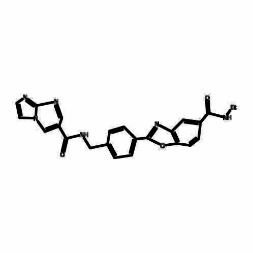 CCNC(=O)c1ccc2oc(-c3ccc(CNC(=O)c4cnc5nccn5c4)cc3)nc2c1